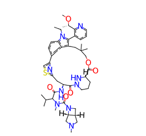 CCn1c(-c2cccnc2[C@H](C)OC)c2c3cc(ccc31)-c1csc(n1)C[C@H](NC(=O)C(C(C)C)N(C)C(=O)N1C[C@@H]3CN(C)C[C@@H]31)C(=O)N1CCC[C@H](N1)C(=O)OCC(C)(C)C2